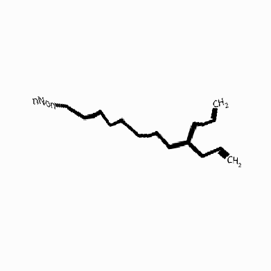 C=CCC(CC=C)CCCCCCCCCCCCCCCCC